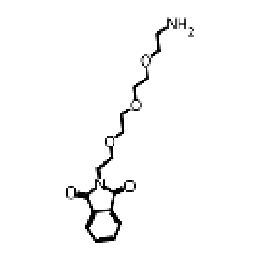 NCCOCCOCCOCCN1C(=O)c2ccccc2C1=O